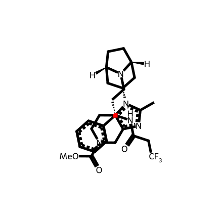 COC(=O)N1CCc2c(nc(C)n2[C@H]2C[C@H]3CC[C@@H](C2)N3CC[C@H](NC(=O)CC(F)(F)F)c2ccccc2)C1